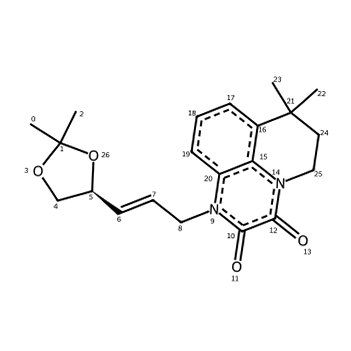 CC1(C)OC[C@H](C=CCn2c(=O)c(=O)n3c4c(cccc42)C(C)(C)CC3)O1